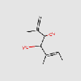 C=C(C)C(O)C(O)C(C)=CC